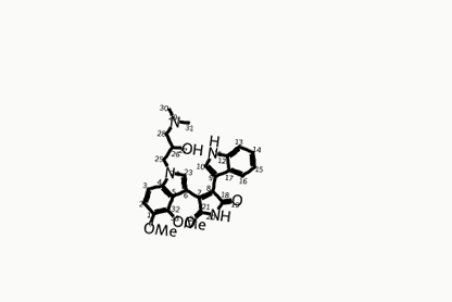 COc1ccc2c(c(C3=C(c4c[nH]c5ccccc45)C(=O)NC3=O)cn2CC(O)CN(C)C)c1OC